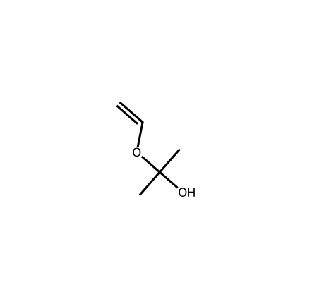 C=COC(C)(C)O